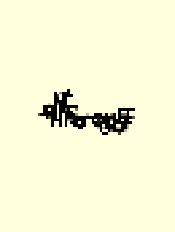 Cc1ccc(-n2nc(C(C)(C)C)cc2NC(=O)Nc2cccc(CC3CCN(S(=O)(=O)c4cccc(C(F)(F)F)c4)CC3)c2)cc1